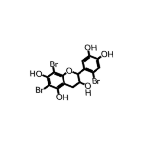 Oc1cc(Br)c(C2Oc3c(Br)c(O)c(Br)c(O)c3CC2O)cc1O